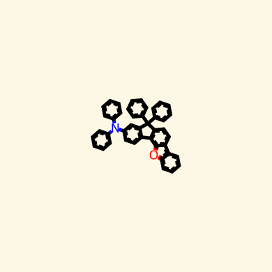 c1ccc(N(c2ccccc2)c2ccc3c(c2)C(c2ccccc2)(c2ccccc2)c2ccc4c(oc5ccccc54)c2-3)cc1